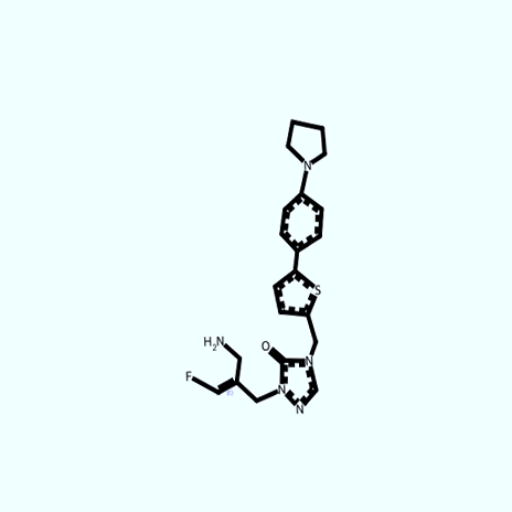 NC/C(=C\F)Cn1ncn(Cc2ccc(-c3ccc(N4CCCC4)cc3)s2)c1=O